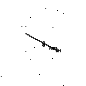 CCCCCCCCCCCCCCCCCOC(=O)CCCCCCCN[C@H]1CCC[C@H](O)C1